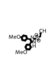 C#CCS(=O)(=O)c1nc(-c2ccc(OC)cc2)c(-c2ccc(OC)cc2)[nH]1